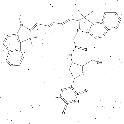 Cc1cn(C2CC(NC(=O)C[N+]3=C(/C=C/C=C/C=C4/N(C)c5ccc6ccccc6c5C4(C)C)C(C)(C)c4c3ccc3ccccc43)C(CO)O2)c(=O)[nH]c1=O